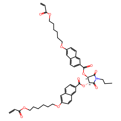 C=CC(=O)OCCCCCCOc1ccc2cc(C(=O)O[C@H]3C(=O)N(CCC)C(=O)[C@@H]3OC(=O)c3ccc4cc(OCCCCCCOC(=O)C=C)ccc4c3)ccc2c1